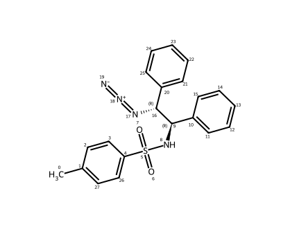 Cc1ccc(S(=O)(=O)N[C@H](c2ccccc2)[C@H](N=[N+]=[N-])c2ccccc2)cc1